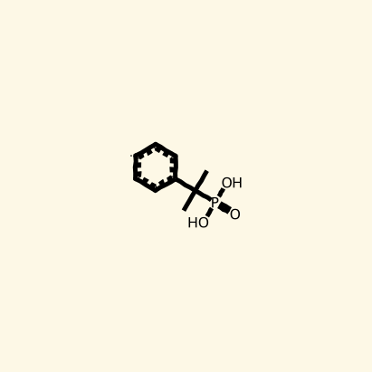 CC(C)(c1cc[c]cc1)P(=O)(O)O